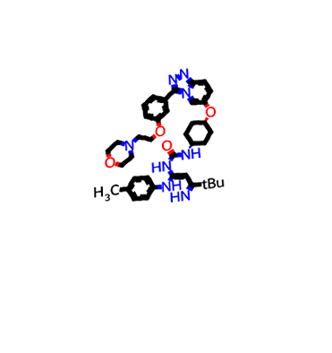 Cc1ccc(N/C(=C\C(=N)C(C)(C)C)NC(=O)N[C@H]2CC[C@H](Oc3ccc4nnc(-c5cccc(OCCN6CCOCC6)c5)n4c3)CC2)cc1